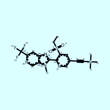 CCS(=O)(=O)c1cc(C#C[Si](C)(C)C)cnc1-c1nc2cc(C(F)(F)F)ncc2n1C